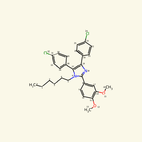 CCCCCCn1c(-c2ccc(OC)c(OC)c2)nc(-c2ccc(Cl)cc2)c1-c1ccc(Cl)cc1